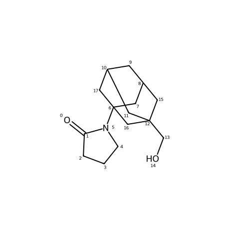 O=C1CCCN1C12CC3CC(CC(CO)(C3)C1)C2